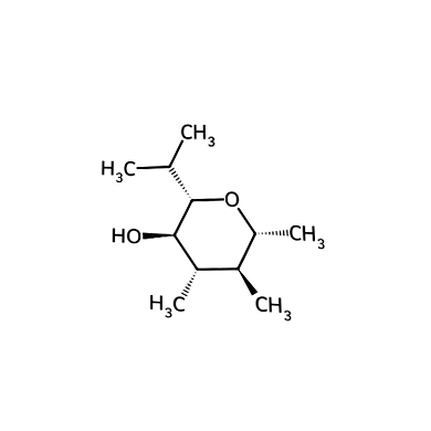 CC(C)[C@@H]1O[C@H](C)[C@@H](C)[C@H](C)[C@H]1O